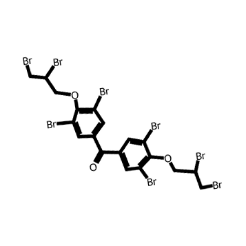 O=C(c1cc(Br)c(OCC(Br)CBr)c(Br)c1)c1cc(Br)c(OCC(Br)CBr)c(Br)c1